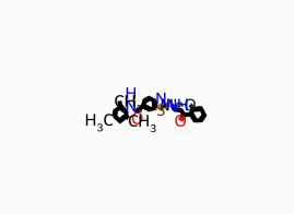 COc1ccccc1C(=O)CCNc1nc2ccc(C(=O)Nc3c(C)cc(C)cc3C)cc2s1